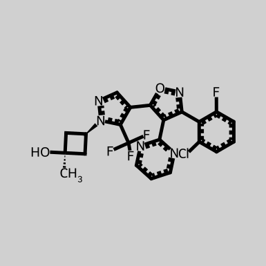 C[C@]1(O)C[C@@H](n2ncc(-c3onc(-c4c(F)cccc4Cl)c3-c3ncccn3)c2C(F)(F)F)C1